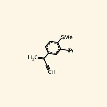 C#CC(=C)c1ccc(SC)c(C(C)C)c1